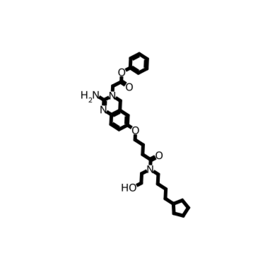 NC1=Nc2ccc(OCCCC(=O)N(CCO)CCCCC3CCCC3)cc2CN1CC(=O)Oc1ccccc1